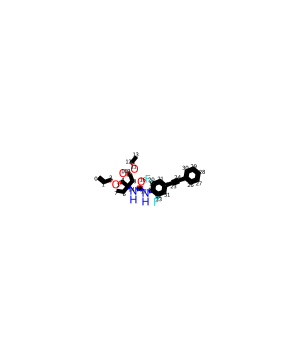 C=CCOCC(CC)(CC(=O)OCC)NC(=O)Nc1c(F)cc(C#Cc2ccccc2)cc1F